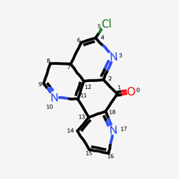 O=C1C2=NC(Cl)=CC3CC=NC(=C23)c2cccnc21